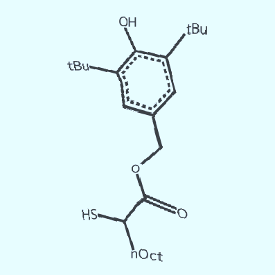 CCCCCCCCC(S)C(=O)OCc1cc(C(C)(C)C)c(O)c(C(C)(C)C)c1